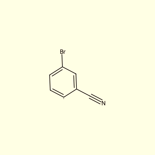 N#Cc1[c]ccc(Br)c1